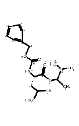 CC(OC(=O)[C@H](CC(C(=O)O)C(C)(C)C)NC(=O)OCc1ccccc1)N(C)C